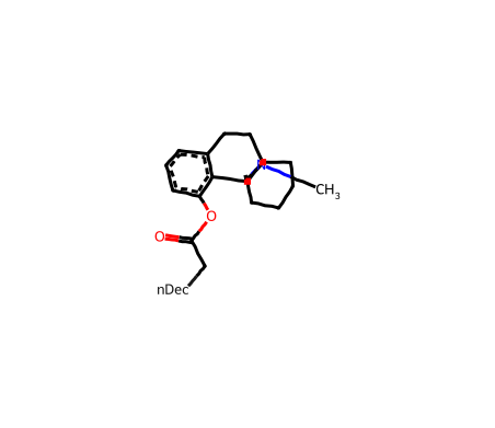 CCCCCCCCCCCC(=O)Oc1cccc2c1C13CCCCC1(CC2)CN(C)CC3